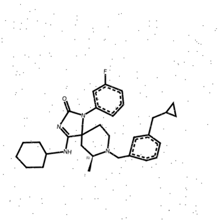 C[C@H]1CC2(CCN1Cc1cccc(CC3CC3)c1)C(NC1CCCCC1)=NC(=O)N2c1cccc(F)c1